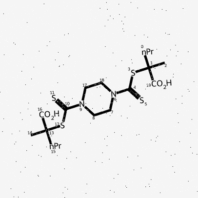 CCCC(C)(SC(=S)N1CCN(C(=S)SC(C)(CCC)C(=O)O)CC1)C(=O)O